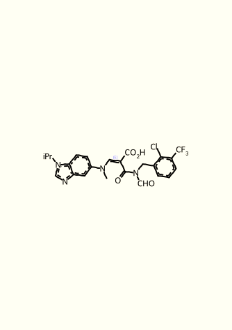 CC(C)n1cnc2cc(N(C)/C=C(/C(=O)O)C(=O)N(C=O)Cc3cccc(C(F)(F)F)c3Cl)ccc21